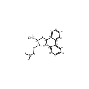 CN(C)CCOC(C=O)CC1Oc2ccccc2-c2ccccc21